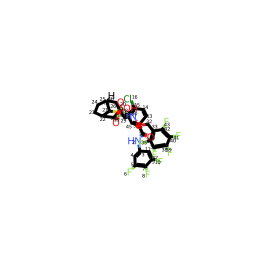 O=C(Nc1cc(F)c(F)c(F)c1)c1ccc(Cl)c(S(=O)(=O)C2C3CC[C@H]2C[C@](O)(/C=N/OCc2c(F)c(F)c(F)c(F)c2F)C3)c1